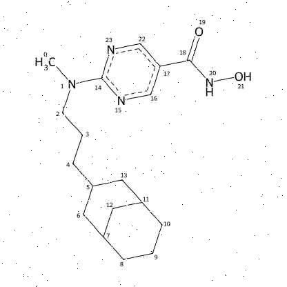 CN(CCCC1CC2CCCC(C2)C1)c1ncc(C(=O)NO)cn1